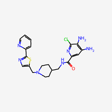 Nc1cc(C(=O)NCC2CCN(Cc3cnc(-c4ccccn4)s3)CC2)nc(Cl)c1N